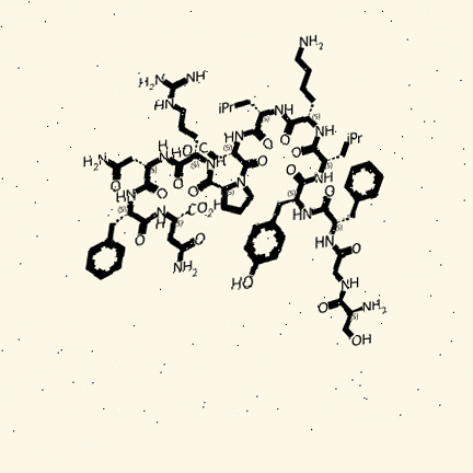 CC(C)C[C@H](NC(=O)[C@H](Cc1ccc(O)cc1)NC(=O)[C@H](Cc1ccccc1)NC(=O)CNC(=O)[C@@H](N)CO)C(=O)N[C@@H](CCCCN)C(=O)N[C@@H](CC(C)C)C(=O)N[C@@H](CC(=O)O)C(=O)N1CCC[C@H]1C(=O)N[C@@H](CCCNC(=N)N)C(=O)N[C@@H](CC(N)=O)C(=O)N[C@@H](Cc1ccccc1)C(=O)N[C@@H](CC(N)=O)C(=O)O